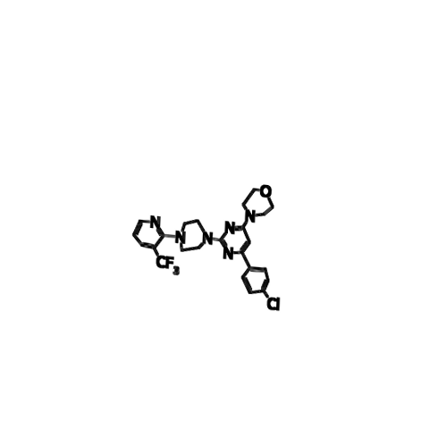 FC(F)(F)c1cccnc1N1CCN(c2nc(-c3ccc(Cl)cc3)cc(N3CCOCC3)n2)CC1